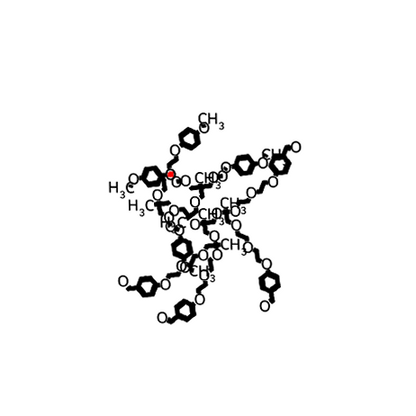 COc1ccc(OCCOCCOC(C)(COCC(C)(COCC(C)(COOOc2ccc(OC)cc2)COOOc2ccc(OC)cc2)OC(C)(COC(C)(COCCOCCOc2ccc(C=O)cc2)OCCOCCOc2ccc(C=O)cc2)COC(C)(COCCOCCOc2ccc(C=O)cc2)OCCOCCOc2ccc(C=O)cc2)COOOc2ccc(OC)cc2)cc1